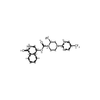 CC(C)C1CN(c2ncc(C(F)(F)F)cn2)CCN1C(=O)Oc1c[nH]c(=O)c2ccccc12